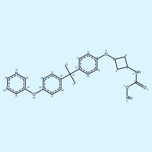 CC(C)(C)OC(=O)NC1CC(Oc2ccc(C(C)(C)c3ccc(Oc4cncnc4)cc3)cc2)C1